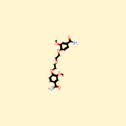 COc1cc(C(N)=O)ccc1OCCOCCOc1ccc(C(N)=O)cc1OC